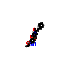 C=CC(=O)Nc1ccc(S(=O)(=O)N2CCN(C(=O)CCCc3ccccc3)CC2)cc1